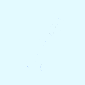 Cc1cc(N2CCc3c(c(C)nn3CC34CCC(N5CCSCC5)(CC3)CC4)C2)c2cnn(C)c2n1